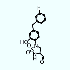 O=CC1CN(c2ccc(Cc3cccc(F)c3)cc2O)S(=O)(=O)N1